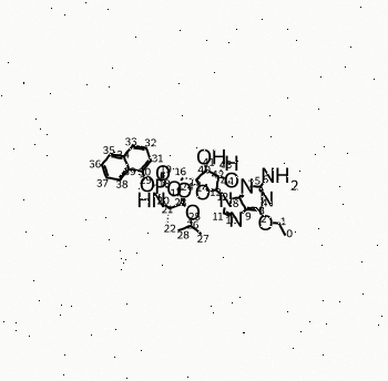 CCOc1nc(N)nc2c1ncn2C1O[C@H](COP(=O)(N[C@@H](C)C(=O)OC(C)C)Oc2cccc3ccccc23)[C@@H](O)[C@@]1(C)O